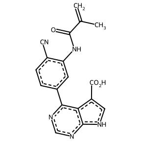 C=C(C)C(=O)Nc1cc(-c2ncnc3[nH]cc(C(=O)O)c23)ccc1C#N